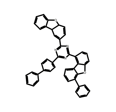 C1=CC2Oc3ccccc3C2C=C1c1nc(-c2ccc(-c3ccccc3)cc2)nc(-c2cccc3oc4c(-c5ccccc5)cccc4c23)n1